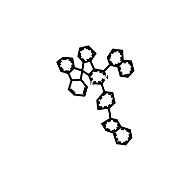 C1=CC2c3ccccc3C3(c4ccccc4-c4c(-c5cccc6ccccc56)nc(-c5ccc(-c6ccc7ccccc7c6)cc5)nc43)C2C=C1